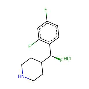 Cl.Fc1ccc([C@@H](F)C2CCNCC2)c(F)c1